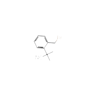 CC(C)(C#N)c1ccccc1CBr